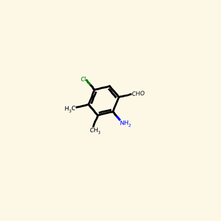 Cc1c(Cl)cc(C=O)c(N)c1C